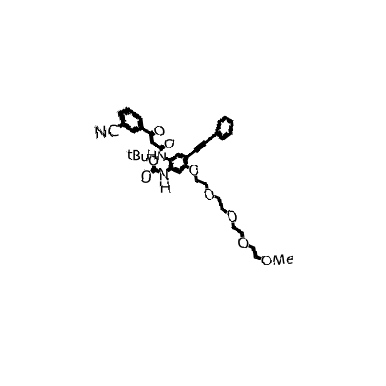 COCCOCCOCCOCCOc1cc(NC(=O)OC(C)(C)C)c(NC(=O)CC(=O)c2cccc(C#N)c2)cc1C#Cc1ccccc1